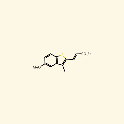 CCOC(=O)/C=C/c1sc2ccc(OC)cc2c1C